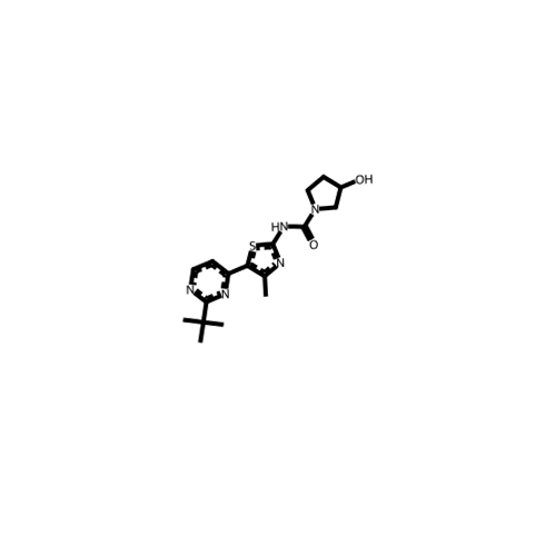 Cc1nc(NC(=O)N2CCC(O)C2)sc1-c1ccnc(C(C)(C)C)n1